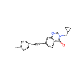 Cc1ccc(C#Cc2ccc3c(=O)n(CC4CC4)cnc3c2)cc1